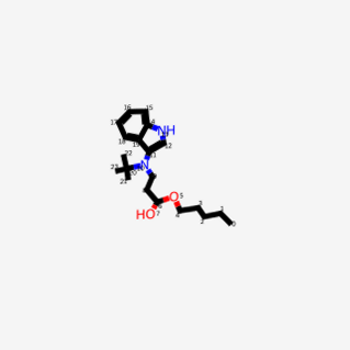 CCCCCOC(O)CCN(c1c[nH]c2ccccc12)C(C)(C)C